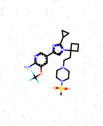 CS(=O)(=O)N1CCN(CCC2(n3cc(-c4cnc(N)c(OC(F)(F)F)c4)nc3C3CC3)CCC2)CC1